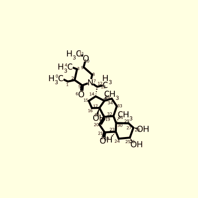 CCC(CC)C(=O)N(CCOC)C(C)[C@H]1CC[C@@]2(O)C3=CC(=O)[C@@H]4C[C@@H](O)[C@@H](O)C[C@]4(C)C3CC[C@]12C